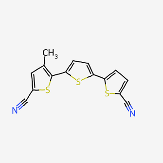 Cc1cc(C#N)sc1-c1ccc(-c2ccc(C#N)s2)s1